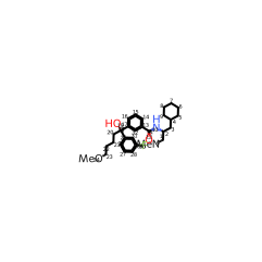 CNCC(CC1CCCCC1)NC(=O)c1cccc([C@@](O)(CCCCOC)c2cccc(F)c2)c1